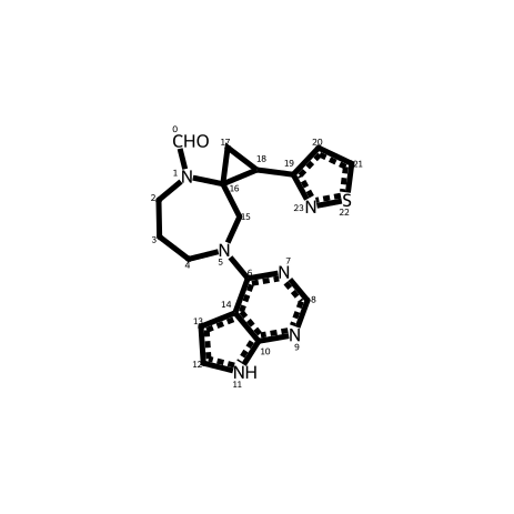 O=CN1CCCN(c2ncnc3[nH]ccc23)CC12CC2c1ccsn1